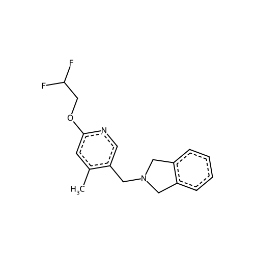 Cc1cc(OCC(F)F)ncc1CN1Cc2ccccc2C1